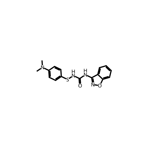 CN(C)c1ccc(SNC(=O)Nc2noc3ccccc23)cc1